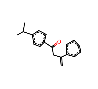 C=C(CC(=O)c1ccc(C(C)C)cc1)c1ccccc1